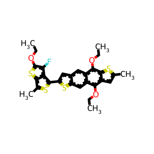 CCOc1sc2c(C)sc(-c3cc4cc5c(OCC)c6sc(C)cc6c(OCC)c5cc4s3)c2c1F